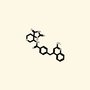 Cc1cc(Cc2ccc(C(=O)NC3COCCC34NC(=O)NC4=O)cc2)c2ccccc2n1